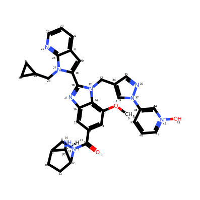 COc1cc(C(=O)N2CC3CCC2[C@@H]3N)cc2nc(-c3cc4cccnc4n3CC3CC3)n(Cc3cnn(-c4ccc[n+](O)c4)c3)c12